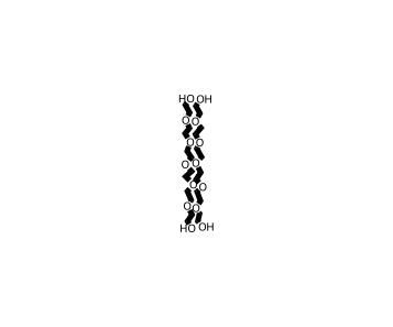 OCCOCCOCCOCCOCCOCCO.OCCOCCOCCOCCOCCOCCO